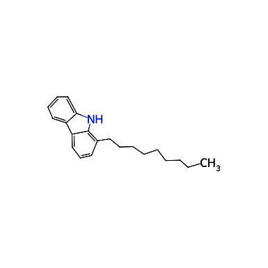 CCCCCCCCCc1cccc2c1[nH]c1ccccc12